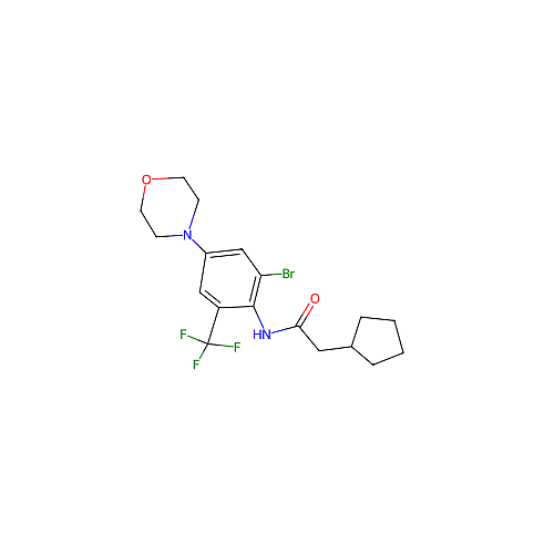 O=C(CC1CCCC1)Nc1c(Br)cc(N2CCOCC2)cc1C(F)(F)F